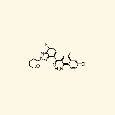 Cc1cc(C(=O)c2ccc(F)c3nn(C4CCCCO4)cc23)c(N)c2ccc(Cl)cc12